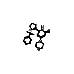 CC(C)(c1ccccc1)[C@@H]1CCCN1c1nc(N2CCOCC2)cc(=O)[nH]1